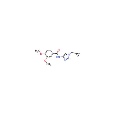 COc1ccc(C(=O)Nc2cn(CC3CC3)cn2)cc1OC